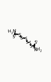 NC(=S)SSSSSSC(N)=S